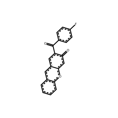 O=C(c1ccc(F)cc1)c1cc2cc3ccccc3oc-2cc1=O